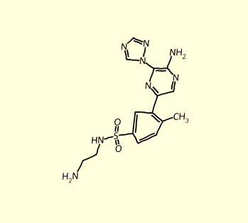 Cc1ccc(S(=O)(=O)NCCN)cc1-c1cnc(N)c(-n2cncn2)n1